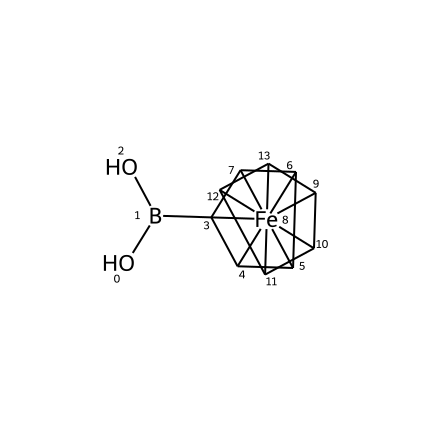 OB(O)[C]12[CH]3[CH]4[CH]5[CH]1[Fe]45321678[CH]2[CH]1[CH]6[CH]7[CH]28